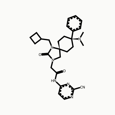 CN(C)[C@]1(c2ccccc2)CC[C@@]2(CC1)CN(CC(=O)Nc1ccnc(C#N)n1)C(=O)N2CC1CCC1